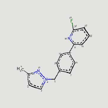 Cc1ccn(Cc2ccc(-c3cccc(F)n3)cc2)n1